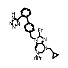 CCCN1C=C2C(=NC(CC)N2Cc2ccc(-c3ccccc3-c3nnn[nH]3)cc2)N(CC2CC2)C1